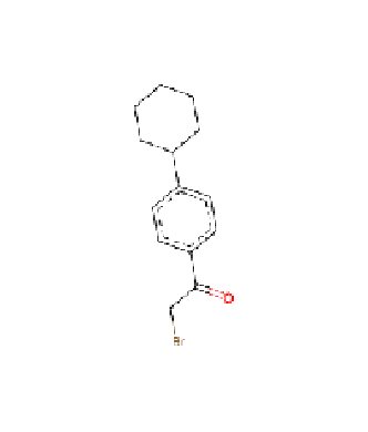 O=C(CBr)c1ccc(C2CCCCC2)cc1